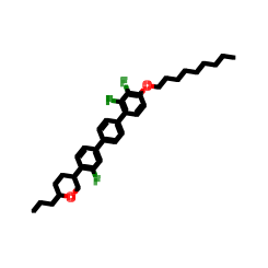 CCCCCCCCCOc1ccc(-c2ccc(-c3ccc(C4CCC(CCC)OC4)c(F)c3)cc2)c(F)c1F